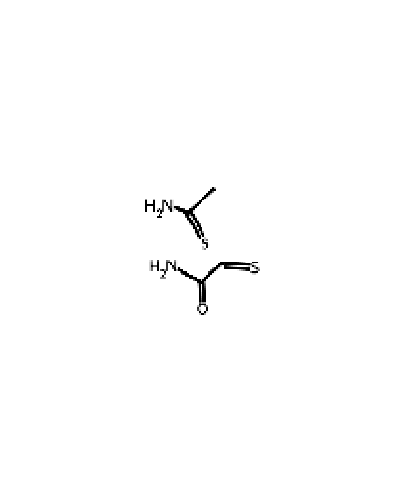 CC(N)=S.NC(=O)C=S